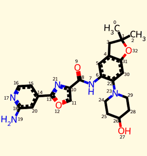 CC1(C)Cc2cc(NC(=O)c3coc(-c4ccnc(N)c4)n3)c(N3CCC(O)CC3)cc2O1